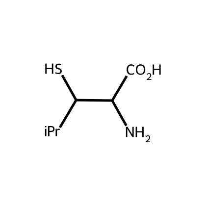 CC(C)C(S)C(N)C(=O)O